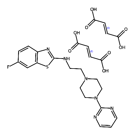 Fc1ccc2nc(NCCN3CCN(c4ncccn4)CC3)sc2c1.O=C(O)/C=C/C(=O)O.O=C(O)/C=C/C(=O)O